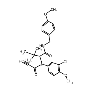 C#CC(=O)N(c1ccc(OC)c(Cl)c1)C(C(=O)NCc1ccc(OC)cc1)C(C)(C)C